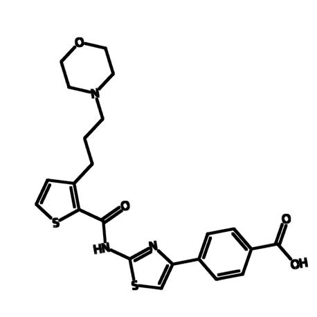 O=C(O)c1ccc(-c2csc(NC(=O)c3sccc3CCCN3CCOCC3)n2)cc1